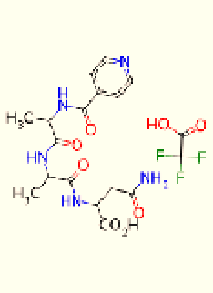 CC(NC(=O)c1ccncc1)C(=O)NC(C)C(=O)NC(CC(N)=O)C(=O)O.O=C(O)C(F)(F)F